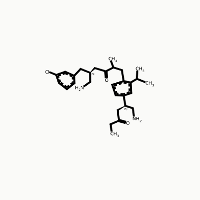 CCC(=O)C[C@H](CN)c1ccc(CC(C)C(=O)C[C@@H](CN)Cc2cccc(Cl)c2)c(C(C)C)c1